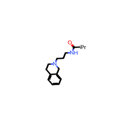 CC(C)C(=O)NCCCN1CCc2ccccc2C1